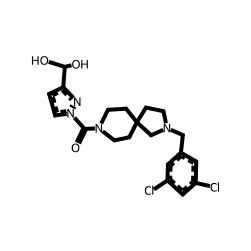 O=C(N1CCC2(CCN(Cc3cc(Cl)cc(Cl)c3)C2)CC1)n1ccc(C(O)O)n1